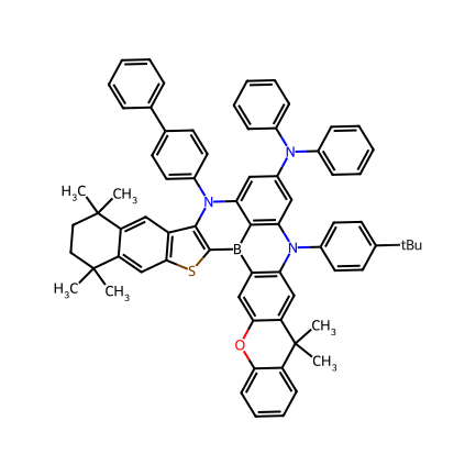 CC(C)(C)c1ccc(N2c3cc4c(cc3B3c5sc6cc7c(cc6c5N(c5ccc(-c6ccccc6)cc5)c5cc(N(c6ccccc6)c6ccccc6)cc2c53)C(C)(C)CCC7(C)C)Oc2ccccc2C4(C)C)cc1